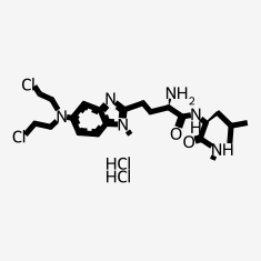 CNC(=O)[C@H](CC(C)C)NC(=O)[C@@H](N)CCc1nc2cc(N(CCCl)CCCl)ccc2n1C.Cl.Cl